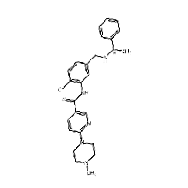 C[C@@H](NCc1ccc(Cl)c(NC(=O)c2ccc(N3CCN(C)CC3)nc2)c1)c1ccccc1